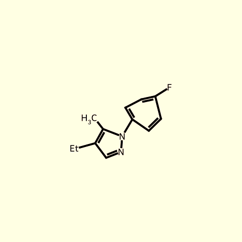 CCc1cnn(-c2ccc(F)cc2)c1C